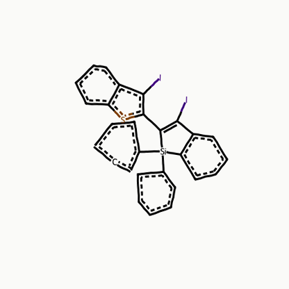 IC1=C(c2sc3ccccc3c2I)[Si](c2ccccc2)(c2ccccc2)c2ccccc21